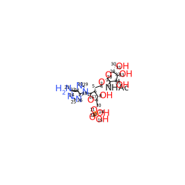 CC(=O)N[C@H]1[C@H](OCC[C@@H]2[C@H](O)[C@@H](COP(=O)(O)O)O[C@H]2n2cnc3c(N)ncnc32)O[C@H](CO)[C@H](O)[C@@H]1O